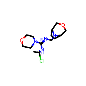 C/C(Cl)=N\C(=N/CN1C2CCC1COC2)N1CCOCC1